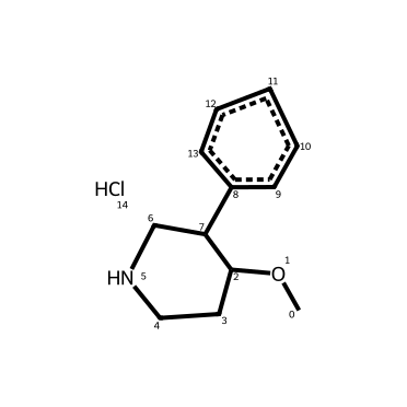 COC1CCNCC1c1ccccc1.Cl